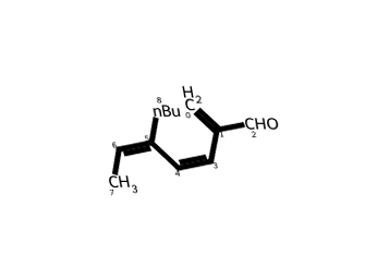 C=C(C=O)/C=C\C(=C/C)CCCC